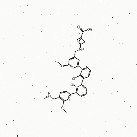 CNCc1ccc(-c2cccc(-c3ccnc(-c4cc(CNC56CC(C(=O)O)(C5)C6)cc(OC)c4)c3Cl)c2Cl)nc1OC